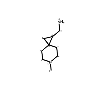 CN1CCC2(CC1)CC2CN